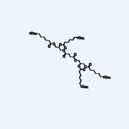 CCCCCCCCCCCCCCCC(=O)OC[C@H](COC(=O)CCC(=O)OC[C@@H](COC(=O)CCCCCCCCCCCCCCC)OC(=O)CCCCCCCCCCCCCCC)OC(=O)CCCCCCCCCCCCCCC